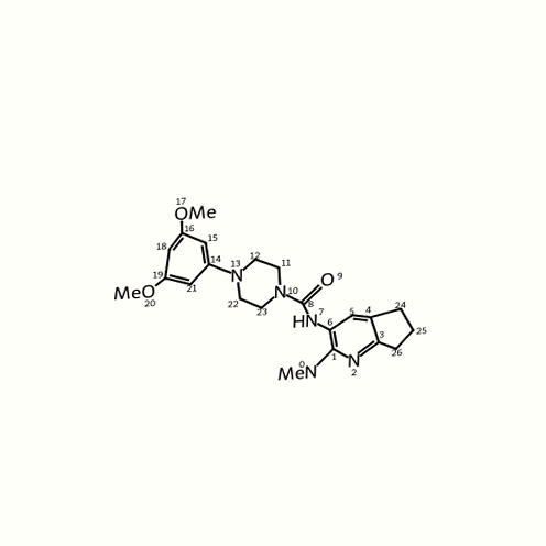 CNc1nc2c(cc1NC(=O)N1CCN(c3cc(OC)cc(OC)c3)CC1)CCC2